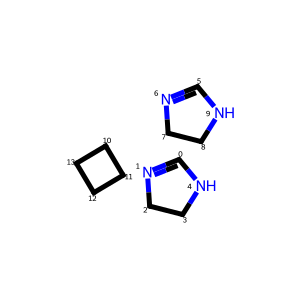 C1=NCCN1.C1=NCCN1.C1CCC1